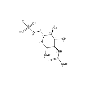 CNC(=O)N[C@H]1[C@H](OC)O[C@H](COS(C)(=O)=O)[C@@H](O)[C@@H]1O